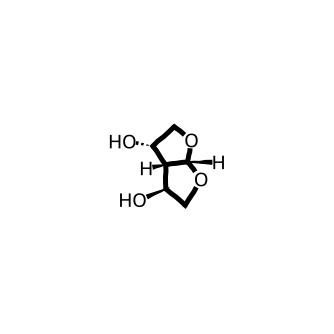 O[C@@H]1CO[C@H]2OC[C@@H](O)[C@H]21